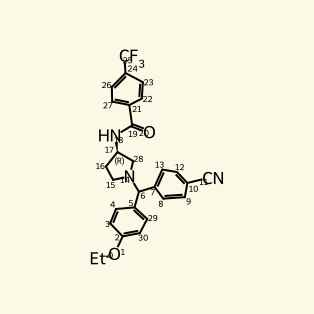 CCOc1ccc(C(c2ccc(C#N)cc2)N2CC[C@@H](NC(=O)c3ccc(C(F)(F)F)cc3)C2)cc1